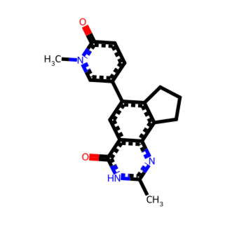 Cc1nc2c3c(c(-c4ccc(=O)n(C)c4)cc2c(=O)[nH]1)CCC3